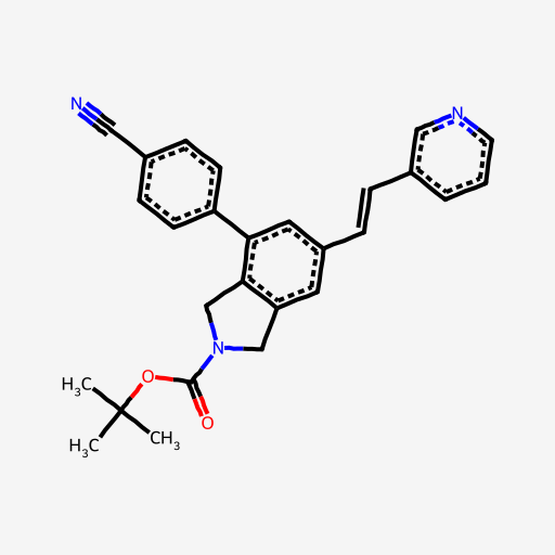 CC(C)(C)OC(=O)N1Cc2cc(/C=C/c3cccnc3)cc(-c3ccc(C#N)cc3)c2C1